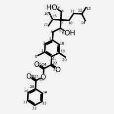 Cc1cc(CC(O)C(CO)(CCC(C)C)C(C)C)cc(C)c1C(=O)C(=O)OC(=O)c1ccccc1